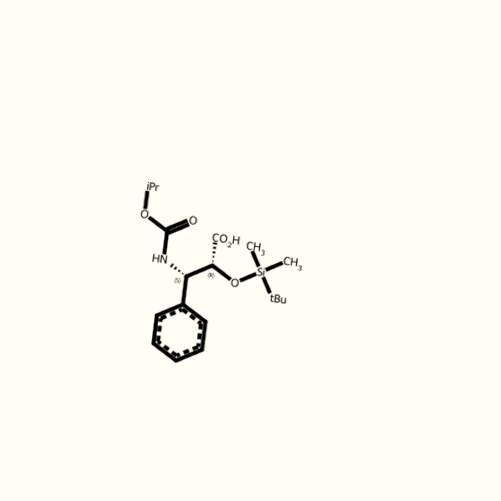 CC(C)OC(=O)N[C@@H](c1ccccc1)[C@@H](O[Si](C)(C)C(C)(C)C)C(=O)O